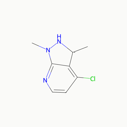 C[C]1NN(C)c2nccc(Cl)c21